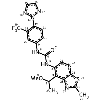 COC(C)c1c(NC(=O)Nc2ccc(-n3nccn3)c(C(F)(F)F)c2)cnc2sc(C)nc12